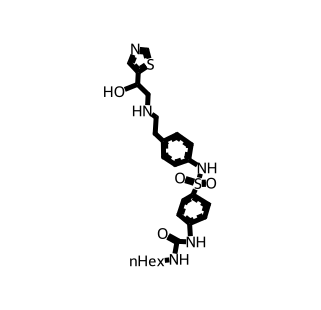 CCCCCCNC(=O)Nc1ccc(S(=O)(=O)Nc2ccc(CCNCC(O)c3cncs3)cc2)cc1